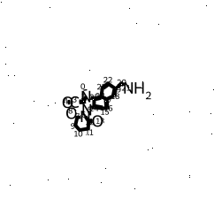 CN1C(=C=O)N(N2C(=O)CCCC2=O)c2ccc3cc(CN)ccc3c21